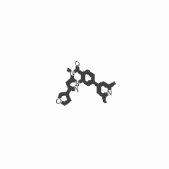 Cc1cc(-c2ccc3c(=O)n(C)c4cc(C5CCOC5)nn4c3c2)cc(C)n1